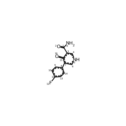 NC(=O)c1c[nH]cc(-c2ccc(F)cc2)c1=O